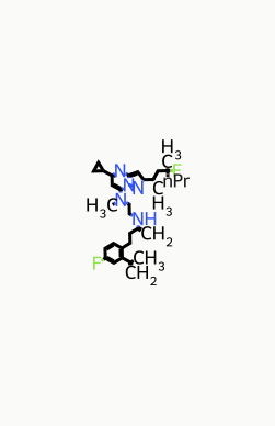 C=C(CCc1ccc(F)cc1C(=C)C)NCCN(C)c1cc(C2CC2)nc2cc(C(C)CC(C)(F)CCC)nn12